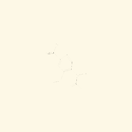 COc1cc(C(N)=O)ccc1N(O)C(C)=O